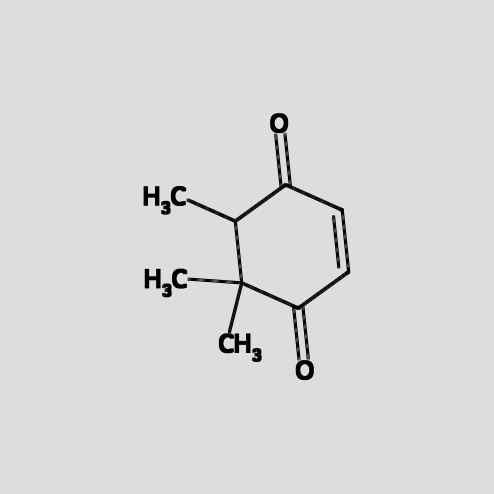 CC1C(=O)C=CC(=O)C1(C)C